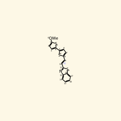 COc1ccc(-c2ccc(/C=C/c3nc4ccccc4s3)s2)s1